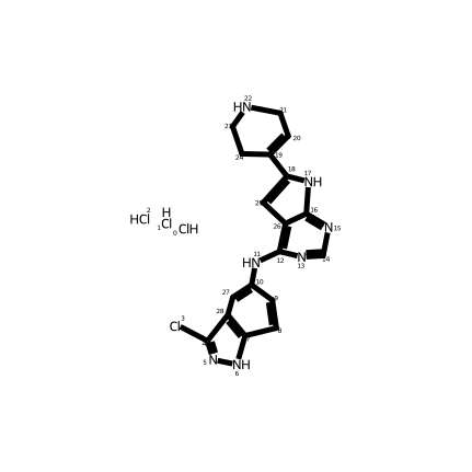 Cl.Cl.Cl.Clc1n[nH]c2ccc(Nc3ncnc4[nH]c(C5=CCNCC5)cc34)cc12